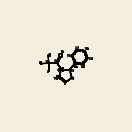 CC(C)(C)C(=O)N1N=CCC1c1ccccc1